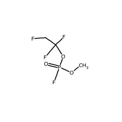 COP(=O)(F)OC(F)(F)CF